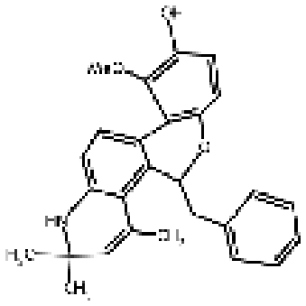 COc1c(O)ccc2c1-c1ccc3c(c1C(Cc1ccccc1)O2)C(C)=CC(C)(C)N3